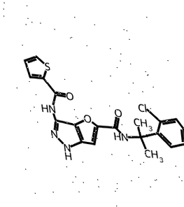 CC(C)(NC(=O)c1cc2[nH]nc(NC(=O)c3cccs3)c2o1)c1ccccc1Cl